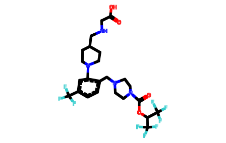 O=C(O)CNCC1CCN(c2cc(C(F)(F)F)ccc2CN2CCN(C(=O)OC(C(F)(F)F)C(F)(F)F)CC2)CC1